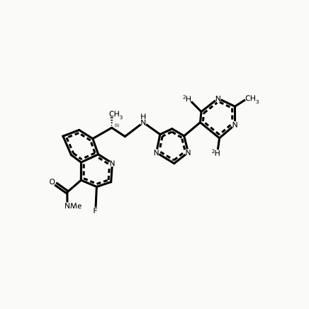 [2H]c1nc(C)nc([2H])c1-c1cc(NC[C@@H](C)c2cccc3c(C(=O)NC)c(F)cnc23)ncn1